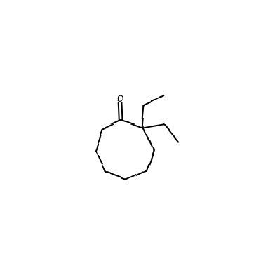 CCC1(CC)CCCCCCC1=O